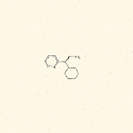 NC[C@H](c1ccccn1)C1CCCCC1